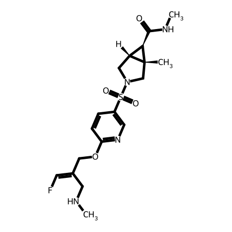 CNC/C(=C\F)COc1ccc(S(=O)(=O)N2C[C@@H]3[C@@H](C(=O)NC)[C@]3(C)C2)cn1